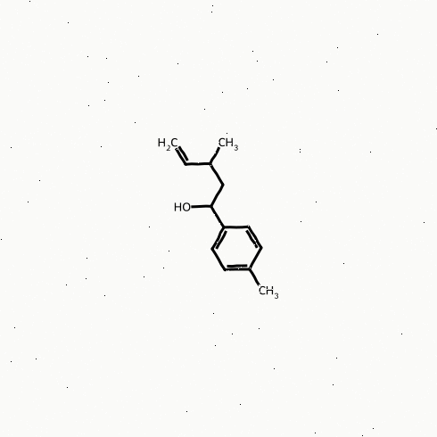 C=CC(C)CC(O)c1ccc(C)cc1